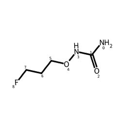 NC(=O)NOCCCF